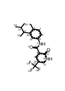 Cc1ccc(NC(=O)c2cc(C(F)(F)F)c[nH]c2=O)cc1C(C)C(C)C